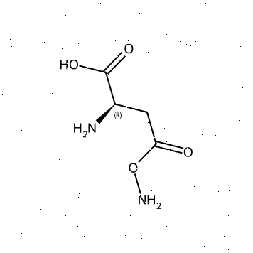 NOC(=O)C[C@@H](N)C(=O)O